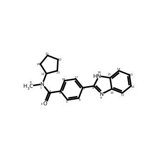 CN(C(=O)c1ccc(-c2nc3ccccc3[nH]2)cc1)C1CCCC1